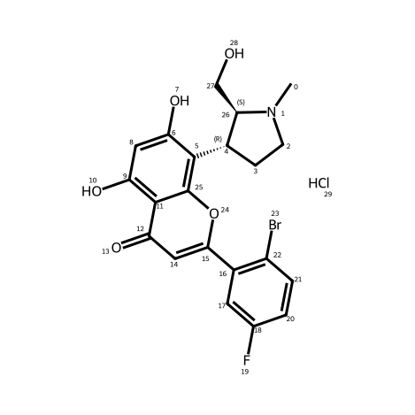 CN1CC[C@H](c2c(O)cc(O)c3c(=O)cc(-c4cc(F)ccc4Br)oc23)[C@H]1CO.Cl